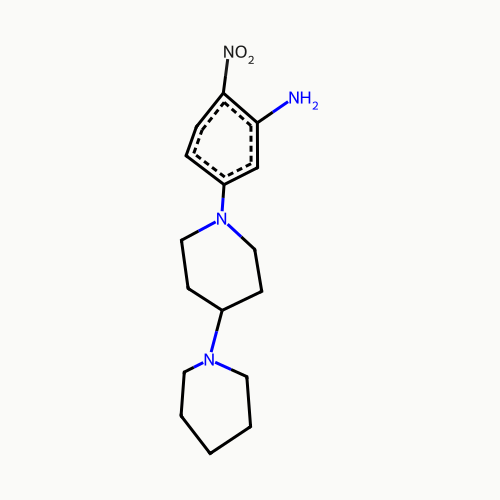 Nc1cc(N2CCC(N3CCCCC3)CC2)ccc1[N+](=O)[O-]